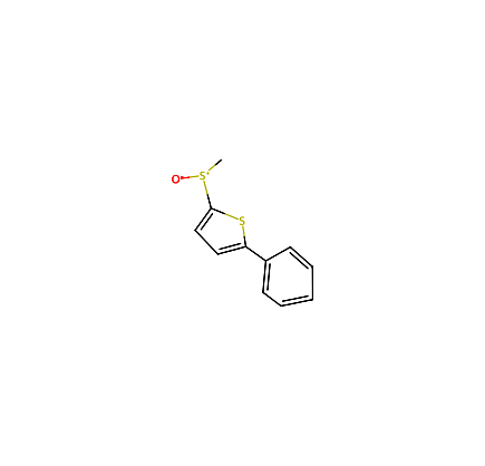 C[S+]([O-])c1ccc(-c2ccccc2)s1